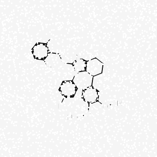 COc1ccc(C2CCCc3nc(SCc4c(F)cccc4Cl)n(-c4ccc(F)cc4)c32)cc1OC